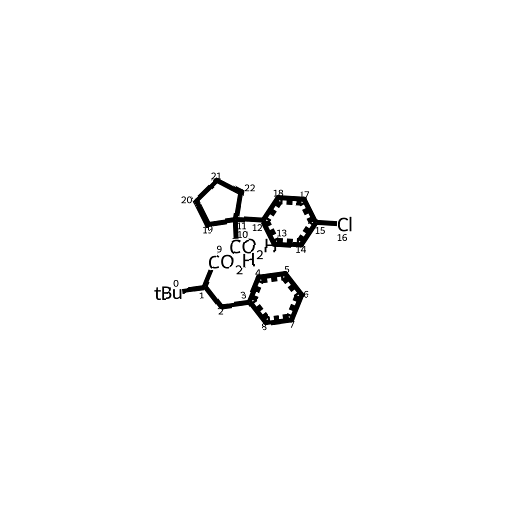 CC(C)(C)C(Cc1ccccc1)C(=O)O.O=C(O)C1(c2ccc(Cl)cc2)CCCC1